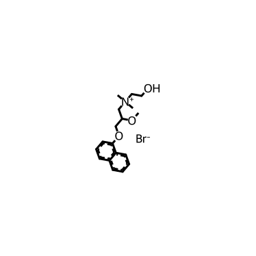 COC(COc1cccc2ccccc12)C[N+](C)(C)CCO.[Br-]